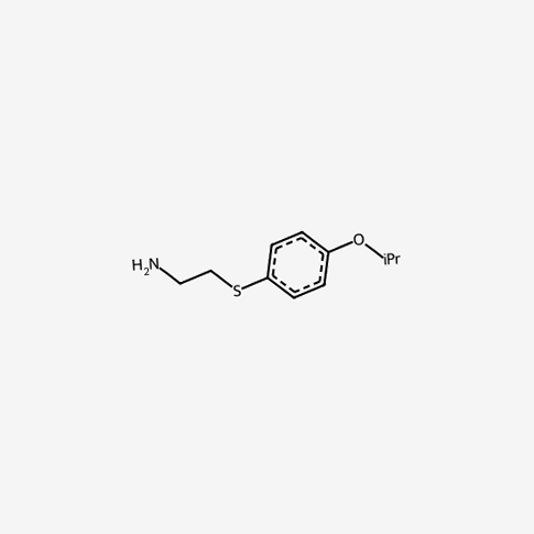 CC(C)Oc1ccc(SCCN)cc1